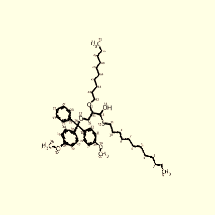 CCCCCCCCCCCCSC(O)C(COC(c1ccccc1)(c1ccc(OC)cc1)c1ccc(OC)cc1)OCCCCCCCCCC